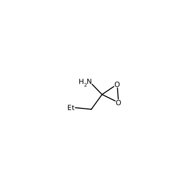 CCCC1(N)OO1